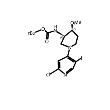 CO[C@H]1CCN(c2cc(Cl)ncc2I)C[C@H]1NC(=O)OC(C)(C)C